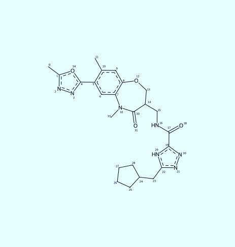 Cc1nnc(-c2cc3c(cc2C)OCC(CNC(=O)c2nnc(CC4CCCC4)[nH]2)C(=O)N3C)o1